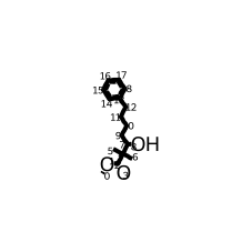 COC(=O)C(C)(C)C(O)CCCCc1ccccc1